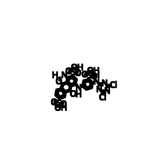 Nc1c(S(=O)(=O)O)cc(Nc2ccc(Nc3nc(Cl)nc(Cl)n3)c(S(=O)(=O)O)c2)c2c1C(=O)c1ccc(S(=O)(=O)O)cc1C2=O